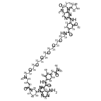 CCC1C(=O)N(C)c2cnc(Nc3ccc(C(=O)NCCOCCOCCOCCOCCOCCOCCN(C)C/C=C/C(=O)N4CCC[C@@H](n5nc(C(=O)Nc6ccc(CC(=O)N(C)C)c(C)c6C)c6c(N)ncnc65)C4)cc3OC)nc2N1C1CCCC1